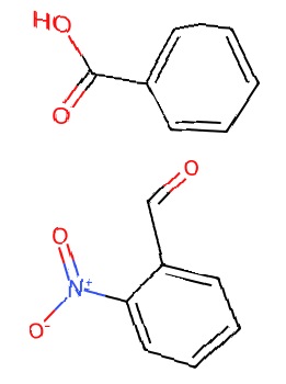 O=C(O)c1ccccc1.O=Cc1ccccc1[N+](=O)[O-]